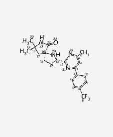 Cc1cc(-c2ccc(C(F)(F)F)cc2)nc([C@@H]2CC[C@@]3(CC(C)(C)NC3=O)N2)n1